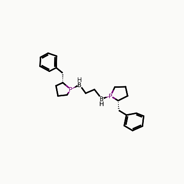 B(CCB[P@@]1CCC[C@@H]1Cc1ccccc1)[P@@]1CCC[C@@H]1Cc1ccccc1